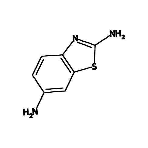 Nc1ccc2nc(N)sc2c1